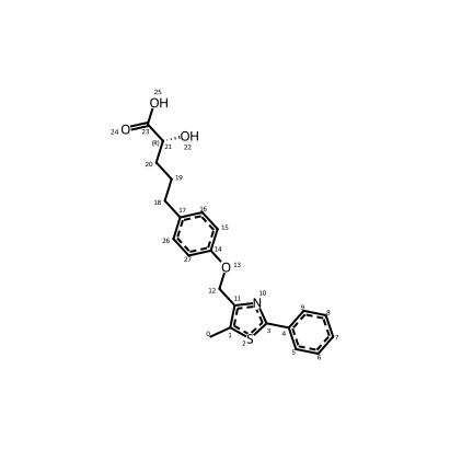 Cc1sc(-c2ccccc2)nc1COc1ccc(CCC[C@@H](O)C(=O)O)cc1